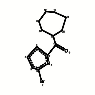 O=C(c1cccc(Br)n1)C1CCCCCC1